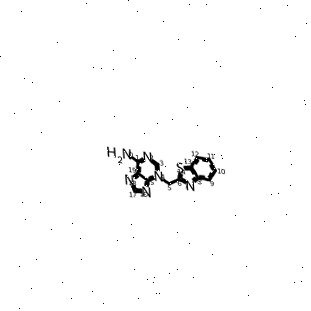 Nc1ncn(Cc2nc3ccccc3s2)c2ncnc1-2